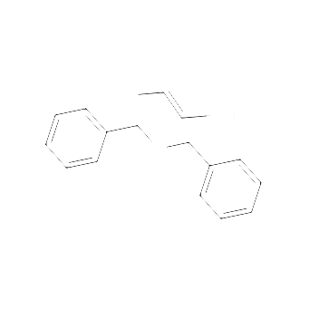 O=C(O)C=CC(=O)O.c1ccc([CH2][Sn][CH2]c2ccccc2)cc1